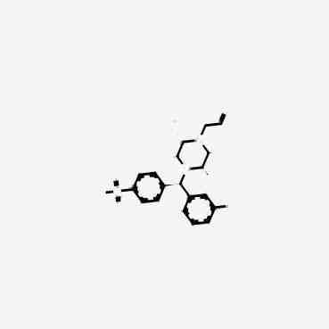 C=CCN1C[C@@H](C)N([C@H](c2ccc(S(C)(=O)=O)cc2)c2cccc(O)c2)C[C@@H]1C